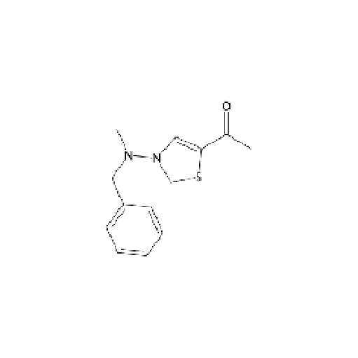 CC(=O)C1=CN(N(C)Cc2ccccc2)CS1